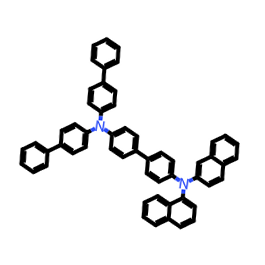 c1ccc(-c2ccc(N(c3ccc(-c4ccccc4)cc3)c3ccc(-c4ccc(N(c5ccc6ccccc6c5)c5cccc6ccccc56)cc4)cc3)cc2)cc1